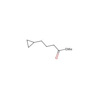 COC(=O)CCCC1CC1